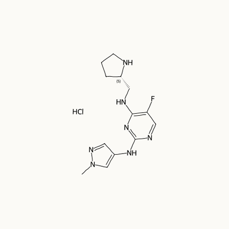 Cl.Cn1cc(Nc2ncc(F)c(NC[C@@H]3CCCN3)n2)cn1